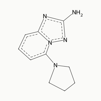 Nc1nc2cccc(N3CCCC3)n2n1